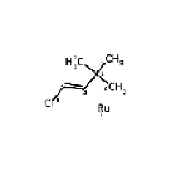 CC(C)(C)C=CCl.[Ru]